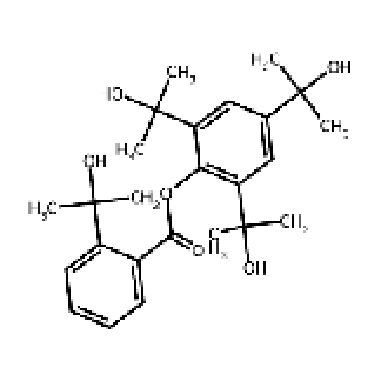 CC(C)(O)c1cc(C(C)(C)O)c(OC(=O)c2ccccc2C(C)(C)O)c(C(C)(C)O)c1